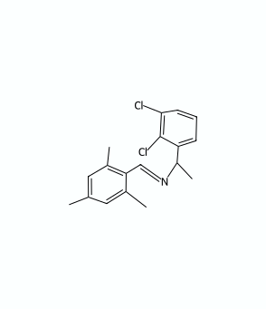 Cc1cc(C)c(C=NC(C)c2cccc(Cl)c2Cl)c(C)c1